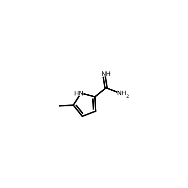 Cc1ccc(C(=N)N)[nH]1